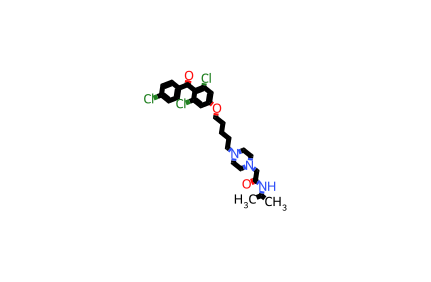 CC(C)NC(=O)CN1CCN(CCCCCOc2cc(Cl)c(C(=O)c3ccc(Cl)cc3)c(Cl)c2)CC1